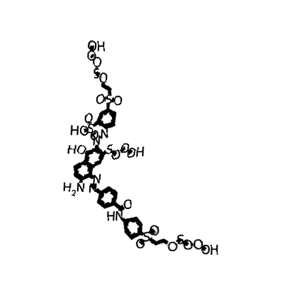 Nc1ccc2c(O)c(/N=N/c3ccc(S(=O)(=O)CCOSOOO)cc3S(=O)(=O)O)c(SOOO)cc2c1/N=N/c1ccc(C(=O)Nc2ccc(S(=O)(=O)CCOSOOO)cc2)cc1